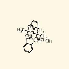 C[C](C)(C)[Ti]([C]1=CC=CC1)([c]1cc2ccccc2[nH]1)[C](C)(C)C.Cl.Cl